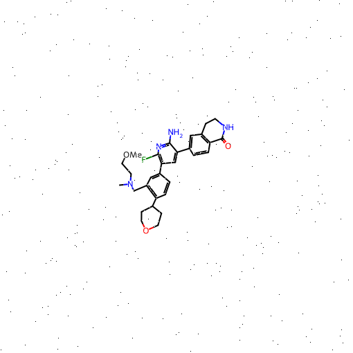 COCCN(C)Cc1cc(-c2cc(-c3ccc4c(c3)CCNC4=O)c(N)nc2F)ccc1C1CCOCC1